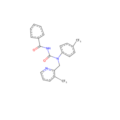 O=C(NC(=O)N(Cc1ncccc1C(F)(F)F)c1ccc(C(F)(F)F)cc1)c1ccccc1